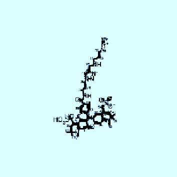 CN1c2cc3c(cc2C(CS(=O)(=O)O)=CC1(C)C)C(c1ccc(C(=O)NCCCn2cc(CNCCCN=[N+]=[N-])nn2)cc1C(=O)O)=c1cc2c(cc1O3)=[N+](C)C(C)(C)C=C2CS(=O)(=O)[O-]